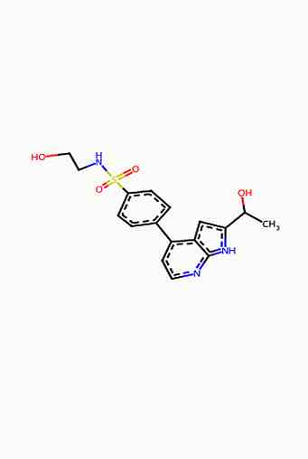 CC(O)c1cc2c(-c3ccc(S(=O)(=O)NCCO)cc3)ccnc2[nH]1